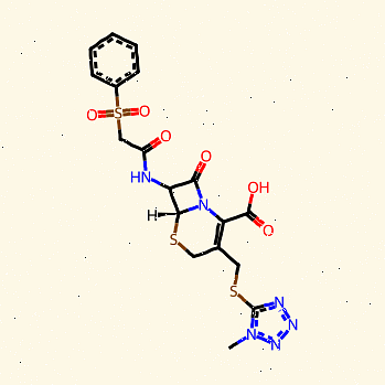 Cn1nnnc1SCC1=C(C(=O)O)N2C(=O)C(NC(=O)CS(=O)(=O)c3ccccc3)[C@H]2SC1